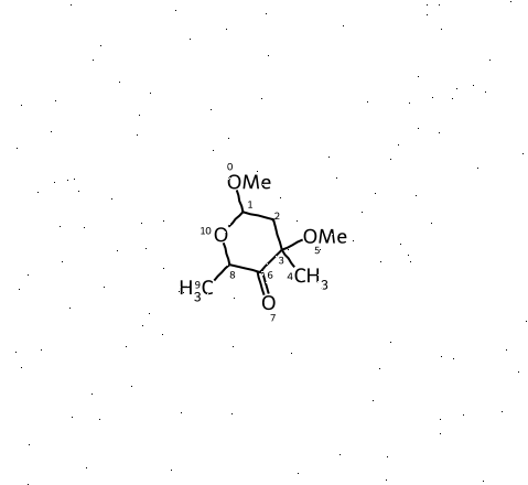 COC1CC(C)(OC)C(=O)C(C)O1